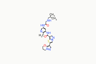 Cc1ncc(NC(=O)CNCC(C)C)cc1NC(=O)c1cnn2cc(-c3cnn4c3OCCC4)sc12